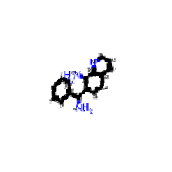 Nc1c(C(N)c2ccccc2)ccc2cccnc12